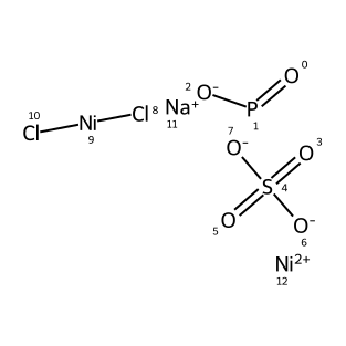 O=P[O-].O=S(=O)([O-])[O-].[Cl][Ni][Cl].[Na+].[Ni+2]